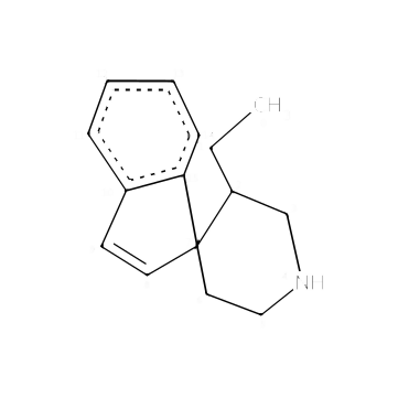 CCC1CNCCC12C=Cc1ccccc12